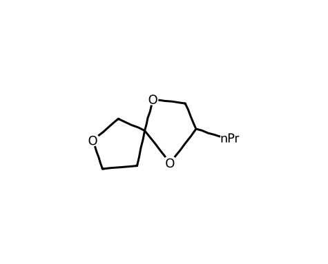 CCCC1COC2(CCOC2)O1